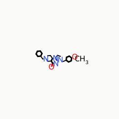 COc1ccc(CN2CCn3c2nc(=O)c2c3CCN(Cc3ccccc3)C2)cc1